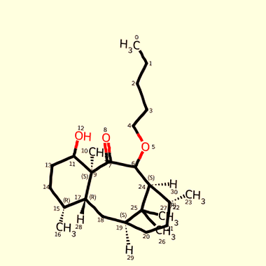 CCCCCOC1C(=O)[C@]2(C)C(O)CC[C@@H](C)[C@H]2C[C@@H]2CC[C@@H](C)[C@H]1C2(C)C